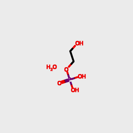 O.O=P(O)(O)OCCO